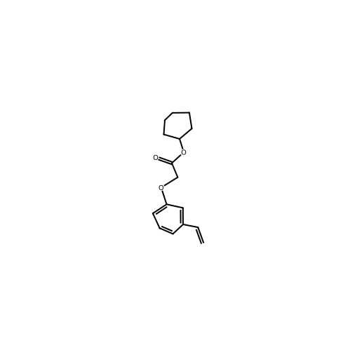 C=Cc1cccc(OCC(=O)OC2CCCCC2)c1